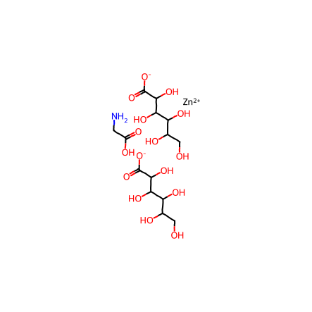 NCC(=O)O.O=C([O-])C(O)C(O)C(O)C(O)CO.O=C([O-])C(O)C(O)C(O)C(O)CO.[Zn+2]